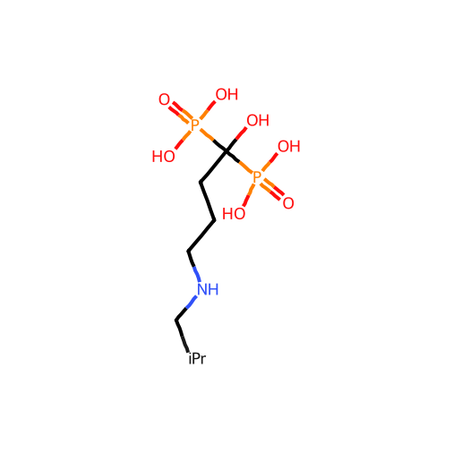 CC(C)CNCCCC(O)(P(=O)(O)O)P(=O)(O)O